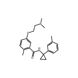 Cc1cccc(C2(NC(=O)c3cc(OCCN(C)C)ccc3C)CC2)c1